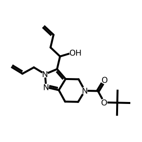 C=CCC(O)c1c2c(nn1CC=C)CCN(C(=O)OC(C)(C)C)C2